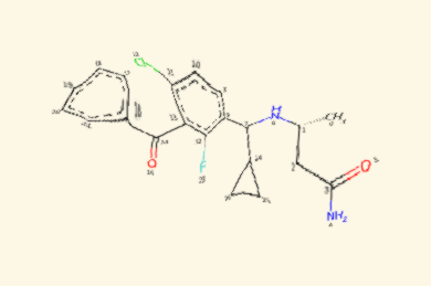 C[C@H](CC(N)=O)NC(c1ccc(Cl)c(C(=O)c2ccccc2)c1F)C1CC1